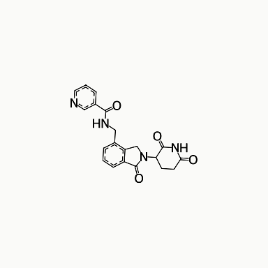 O=C1CCC(N2Cc3c(CNC(=O)c4cccnc4)cccc3C2=O)C(=O)N1